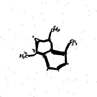 Cc1cccc2c1C(C)OC2C